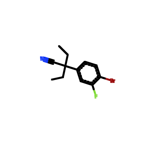 CCC(C#N)(CC)c1ccc(Br)c(F)c1